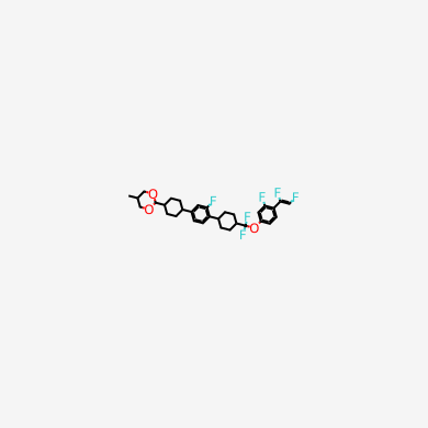 CC1COC(C2CCC(c3ccc(C4CCC(C(F)(F)Oc5ccc(/C(F)=C/F)c(F)c5)CC4)c(F)c3)CC2)OC1